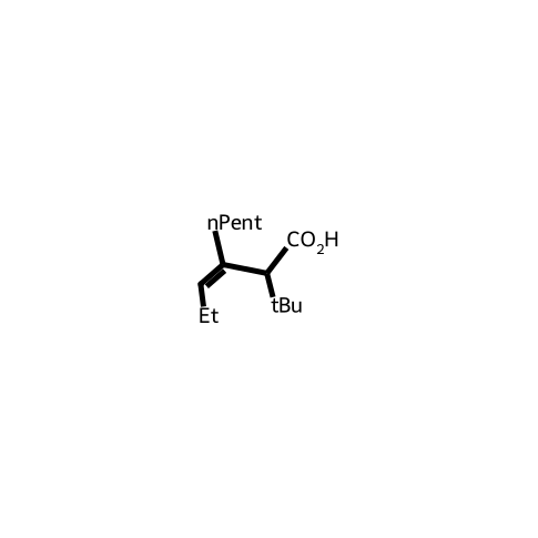 CCC=C(CCCCC)C(C(=O)O)C(C)(C)C